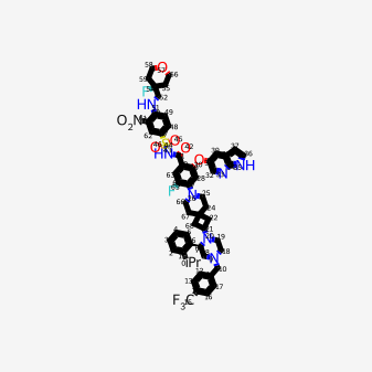 CC(C)c1ccccc1[C@@H]1CN(Cc2ccc(C(F)(F)F)cc2)CCN1C1CC2(CCN(c3cc(Oc4cnc5[nH]ccc5c4)c(C(=O)NS(=O)(=O)c4ccc(NCC5(F)CCOCC5)c([N+](=O)[O-])c4)cc3F)CC2)C1